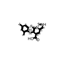 Cc1cc(I)ccc1NC1=C(F)N2SNC=C2C=C1C(=O)O